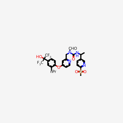 CCCc1cc(C(O)(C(F)(F)F)C(F)(F)F)ccc1Oc1ccnc(CN(C=O)C(=O)NC(C)c2ccc(S(C)(=O)=O)nc2)c1